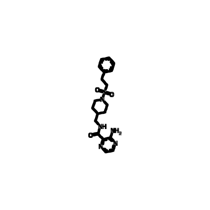 Nc1nccnc1C(=O)NCC1CCN(S(=O)(=O)CCc2ccccc2)CC1